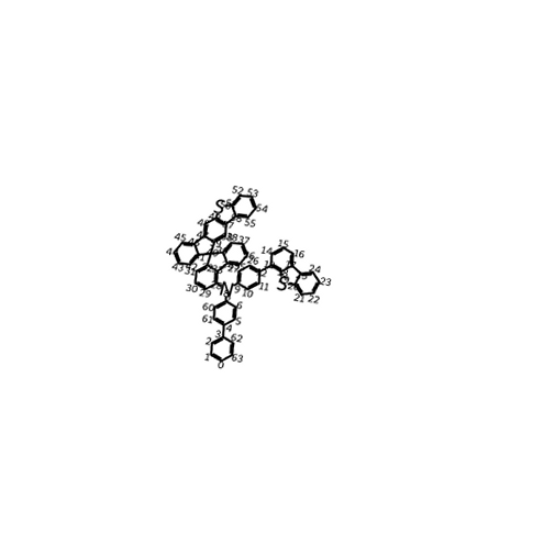 c1ccc(-c2ccc(N(c3ccc(-c4cccc5c4sc4ccccc45)cc3)c3cccc4c3-c3ccccc3C43c4ccccc4-c4cc5sc6ccccc6c5cc43)cc2)cc1